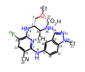 CCOC[C@@H](Nc1nc(Nc2ccc3c(cnn3CC)c2)c(C#N)cc1F)[C@H](C)NC(=O)O